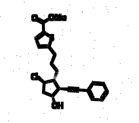 COC(=O)c1ccc(CCC[C@@H]2[C@@H](C#Cc3ccccc3)[C@H](O)C[C@H]2Cl)s1